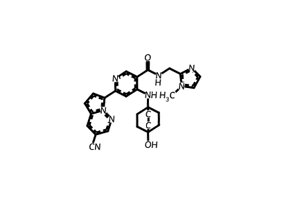 Cn1ccnc1CNC(=O)c1cnc(-c2ccc3cc(C#N)cnn23)cc1NC12CCC(O)(CC1)CC2